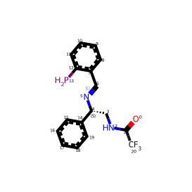 O=C(NC[C@@H](/N=C/c1ccccc1P)c1ccccc1)C(F)(F)F